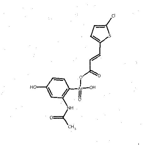 CC(=O)Nc1cc(O)ccc1[As](=O)(O)OC(=O)C=Cc1ccc(Cl)s1